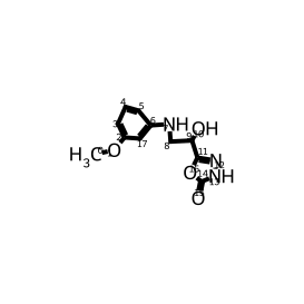 COc1cccc(NCC(O)c2n[nH]c(=O)o2)c1